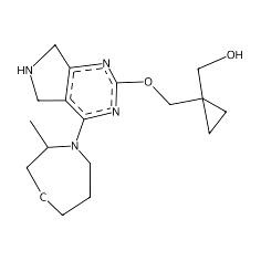 CC1CCCCCN1c1nc(OCC2(CO)CC2)nc2c1CNC2